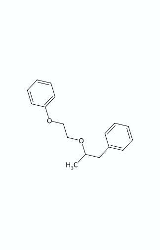 CC(Cc1ccccc1)OCCOc1ccccc1